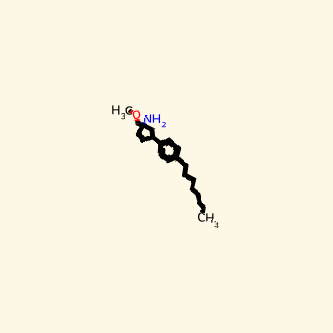 CCCCCCCCc1ccc(C2C=CC(N)(COC)C2)cc1